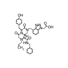 C=CCN1CC(=O)N2[C@@H](Cc3ccc(O)cc3)C(=O)N(Cc3cccc4c3nnn4CC(=O)O)C[C@@H]2N1C(=O)NCc1ccccc1